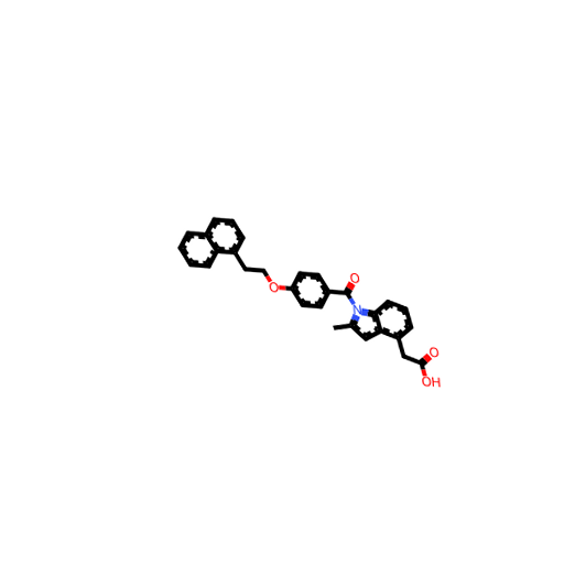 Cc1cc2c(CC(=O)O)cccc2n1C(=O)c1ccc(OCCc2cccc3ccccc23)cc1